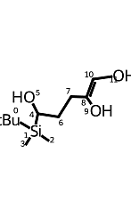 CC(C)(C)[Si](C)(C)C(O)CCC(O)=CO